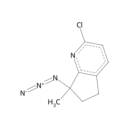 CC1(N=[N+]=[N-])CCc2ccc(Cl)nc21